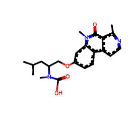 Cc1nccc2c1c(=O)n(C)c1cc(OCC(CC(C)C)N(C)C(=O)O)ccc21